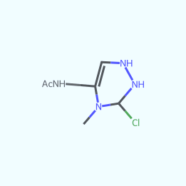 CC(=O)NC1=CNNC(Cl)N1C